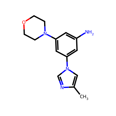 Cc1cn(-c2cc(N)cc(N3CCOCC3)c2)cn1